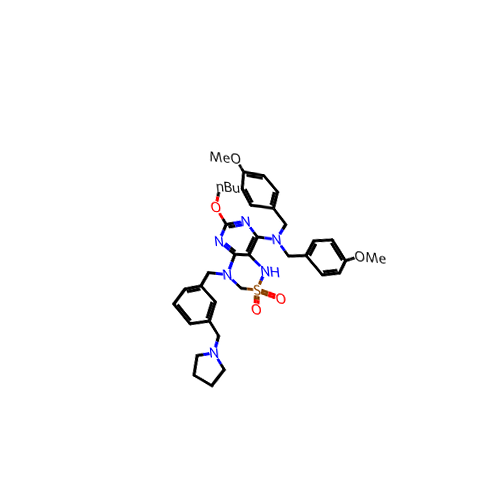 CCCCOc1nc(N(Cc2ccc(OC)cc2)Cc2ccc(OC)cc2)c2c(n1)N(Cc1cccc(CN3CCCC3)c1)CS(=O)(=O)N2